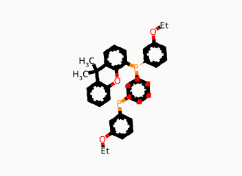 CCOc1cccc([P@](c2ccccc2)c2cccc3c2Oc2c([P@@](c4ccccc4)c4cccc(OCC)c4)cccc2C3(C)C)c1